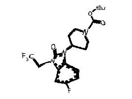 CC(C)(C)OC(=O)N1CCC(n2c(=O)n(CC(F)(F)F)c3cc(F)ccc32)CC1